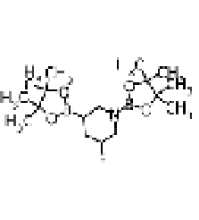 CC1(C)OB(C2CC(F)CN(B3OC(C)(C)C(C)(C)O3)C2)OC1(C)C